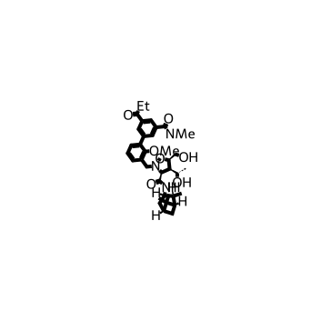 CCC(=O)c1cc(C(=O)NC)cc(-c2cccc(CN3O[C@@H](CO)[C@@H]([C@H](C)O)[C@H]3C(=O)N[C@H]3C[C@H]4C[C@@H]([C@@H]3C)C4(C)C)c2OC)c1